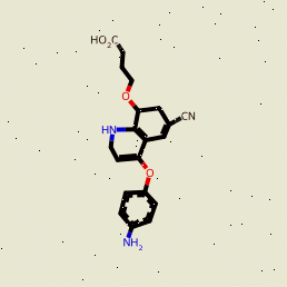 N#CC1=CC2=C(NCC=C2Oc2ccc(N)cc2)C(OCCCC(=O)O)C1